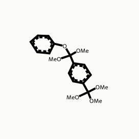 COC(OC)(OC)c1ccc(C(OC)(OC)Oc2ccccc2)cc1